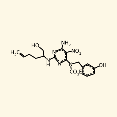 C=CCCC(CO)Nc1nc(N)c([N+](=O)[O-])c(N(Cc2cccc(O)c2)C(=O)OCC)n1